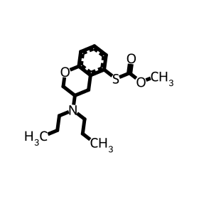 CCCN(CCC)C1COc2cccc(SC(=O)OC)c2C1